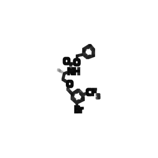 C[C@@H](COCc1cc(Br)cc(C(F)(F)F)c1)NC(=O)OCc1ccccc1